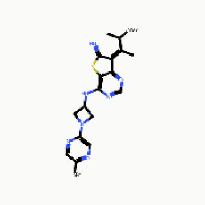 CCCc1cnc(N2CC(Nc3ncnc4c3SC(=N)/C4=C(/C)C(C)NC)C2)cn1